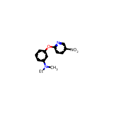 CCN(C)c1cccc(Oc2ccc([N+](=O)[O-])cn2)c1